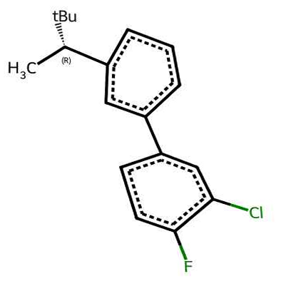 C[C@@H](c1cccc(-c2ccc(F)c(Cl)c2)c1)C(C)(C)C